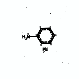 Nc1ccccc1.[Pb]